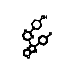 OC1CCN(c2nccc(-c3c(-c4ccc(F)cc4)nc4occn34)n2)CC1